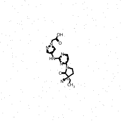 CC[C@]1(C#N)CCN(c2ccnc(Nc3cnn(CC(=O)O)c3)n2)C1=O